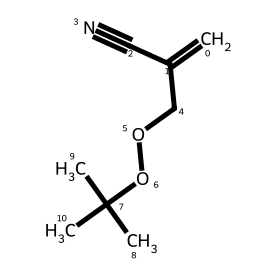 C=C(C#N)COOC(C)(C)C